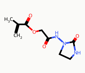 C=C(C)C(=O)OCC(=O)NN1CCNC1=O